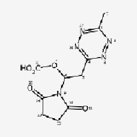 Cc1nnc(CC(OC(=O)O)N2C(=O)CCC2=O)nn1